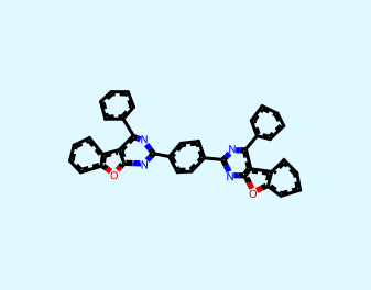 c1ccc(-c2nc(-c3ccc(-c4nc(-c5ccccc5)c5c(n4)oc4ccccc45)cc3)nc3oc4ccccc4c23)cc1